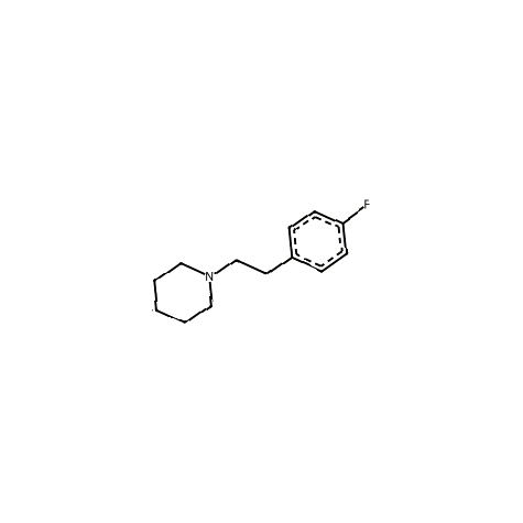 Fc1ccc(CCN2CC[CH]CC2)cc1